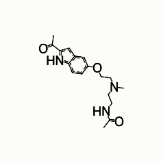 CC(=O)NCCN(C)CCOc1ccc2[nH]c(C(C)=O)cc2c1